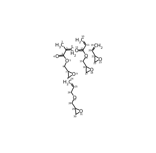 C=C(C)C(=O)OCC1CO1.C=CC(=O)OCC1CO1.C=CC1CO1.C=CCOCC1CO1